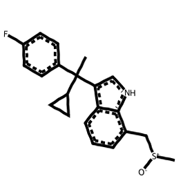 C[S+]([O-])Cc1cccc2c(C(C)(c3ccc(F)cc3)C3CC3)c[nH]c12